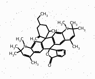 C=C1CC(CC)CC(C)C12c1cc3c(cc1C1(OC(=O)c4ccccc41)c1cc4c(cc12)N(C)C(C)(C)C=C4C)C(C)=CC(C)(C)N3C